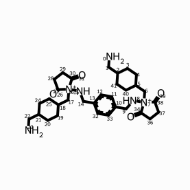 NCC1CCC(C[N+]2(NCc3ccc(CN[N+]4(CC5CCC(CN)CC5)C(=O)CCC4=O)cc3)C(=O)CCC2=O)CC1